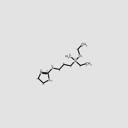 CCO[Si](C)(CC)CCCSC1=NCCS1